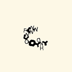 C=C(C)CNC(=O)C(C)c1ccc(OC2CCN(c3nc(N(C)C)ncc3F)C2)cc1